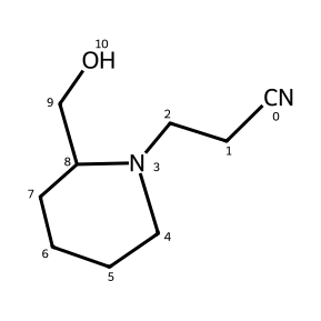 N#CCCN1CCCCC1CO